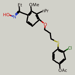 CCCc1c(OCCCSc2ccc(OC(C)=O)cc2Cl)ccc(C(CC)=NO)c1OC